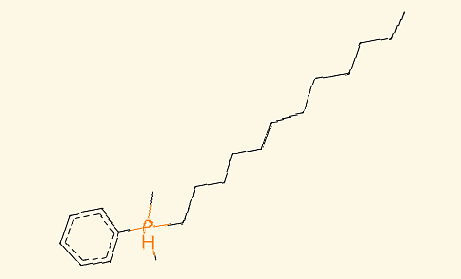 CCCCCCCCCCCC[PH](C)(C)c1ccccc1